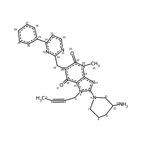 CC#CCn1c(N2CCCC(N)C2)nc2c1c(=O)n(Cc1nccc(-c3ccccc3)n1)c(=O)n2C